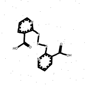 O=C(O)c1cccnc1SSSc1ncccc1C(=O)O